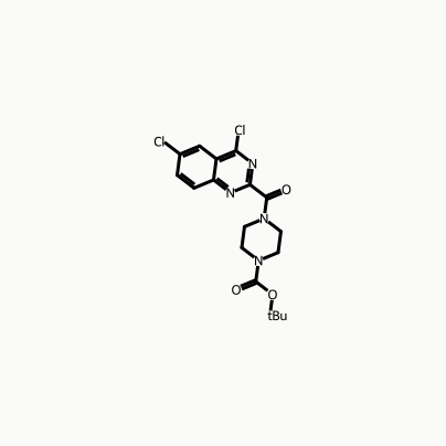 CC(C)(C)OC(=O)N1CCN(C(=O)c2nc(Cl)c3cc(Cl)ccc3n2)CC1